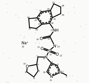 Cn1cc(N(CC2CCCO2)S(=O)(=O)[N-]C(=O)Nc2c3c(cc4c2CCC4)CCC3)cn1.[Na+]